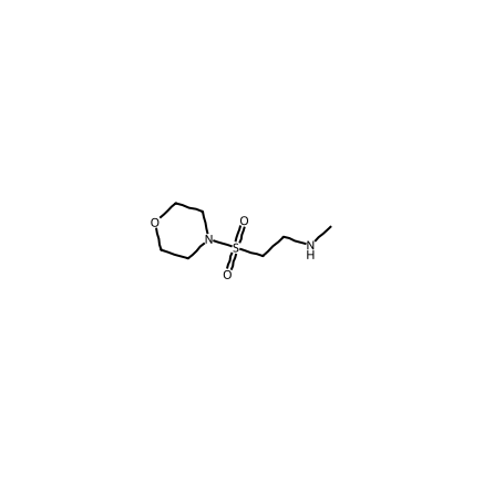 CNCCS(=O)(=O)N1CCOCC1